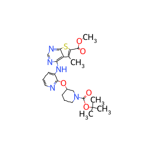 COC(=O)c1sc2ncnc(Nc3cccnc3OC3CCCN(C(=O)OC(C)(C)C)C3)c2c1C